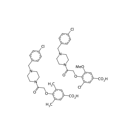 COc1cc(C(=O)O)cc(Cl)c1OCC(=O)N1CCN(Cc2ccc(Cl)cc2)CC1.Cc1cc(C(=O)O)cc(C)c1OCC(=O)N1CCN(Cc2ccc(Cl)cc2)CC1